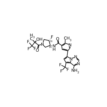 Cc1ncc(-c2cc(C(F)(F)F)c3c(N)ncnn23)cc1C(=O)N[C@@H]1CN(C(=O)[C@@](C)(O)C(F)(F)F)C[C@@H]1F